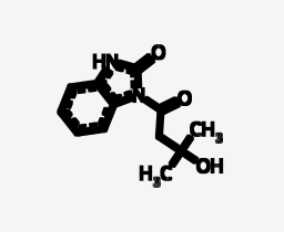 CC(C)(O)CC(=O)n1c(=O)[nH]c2ccccc21